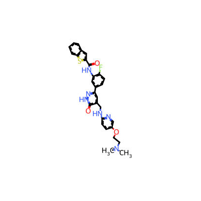 CN(C)CCOc1ccc(NCc2cc(-c3ccc(F)c(NC(=O)c4cc5ccccc5s4)c3)n[nH]c2=O)nc1